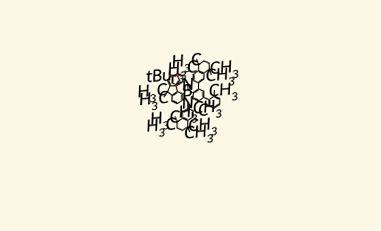 Cc1cc2c(cc1N1c3cc(-c4c(C)cccc4C)cc4c3B(c3c1ccc1c3-c3ccccc3C1(C)C)N(c1ccc(C(C)(C)C)cc1)c1cc3c(cc1-4)C(C)(C)CCC3(C)C)C(C)(C)CCC2(C)C